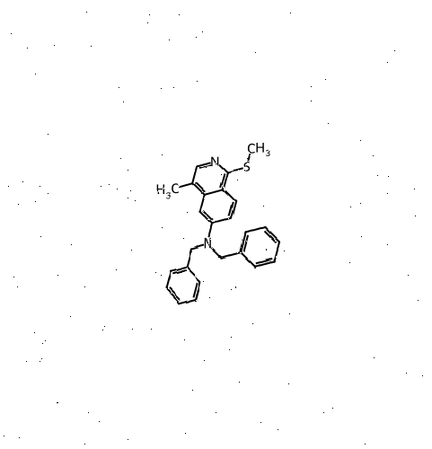 CSc1ncc(C)c2cc(N(Cc3ccccc3)Cc3ccccc3)ccc12